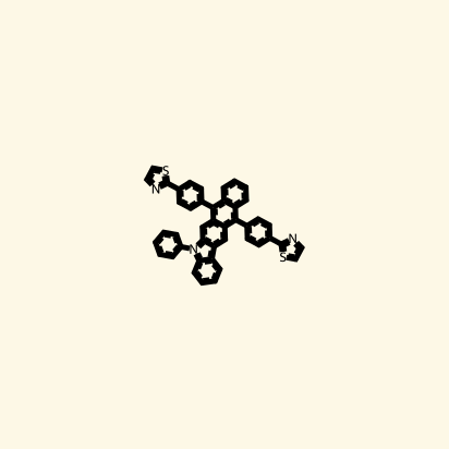 c1ccc(-n2c3ccccc3c3cc4c(-c5ccc(-c6nccs6)cc5)c5ccccc5c(-c5ccc(-c6nccs6)cc5)c4cc32)cc1